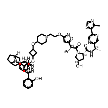 Cc1ncsc1-c1cnc([C@H](C)NC(=O)[C@@H]2C[C@@H](O)CN2C(=O)[C@@H](c2cc(OCCN3CCC(OC4CC(Oc5cc(N6C7CC[C@@H]6CN(c6cc(-c8ccccc8O)nnc6N)C7)ccn5)C4)CC3)no2)C(C)C)cn1